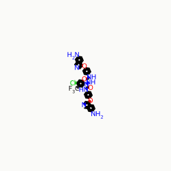 Nc1ccc2c(Oc3ccc(NC(=O)NN(C(=O)Nc4ccc(Oc5cncc6cc(N)ccc56)cc4)c4ccc(Cl)c(C(F)(F)F)c4)cc3)cncc2c1